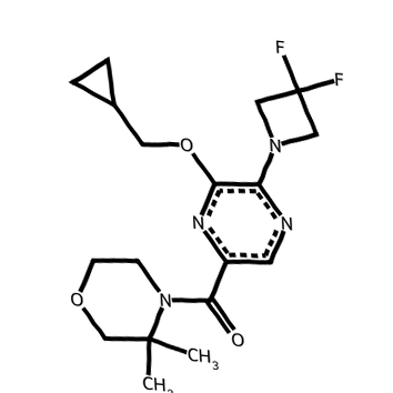 CC1(C)COCCN1C(=O)c1cnc(N2CC(F)(F)C2)c(OCC2CC2)n1